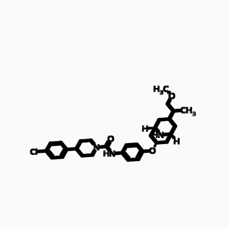 COCC(C)C1C[C@@H]2C[C@H](Oc3ccc(NC(=O)N4CCC(c5ccc(Cl)cc5)CC4)cc3)C[C@H](C1)N2